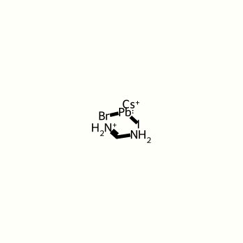 NC=[NH2+].[Br][Pb][I].[Cs+]